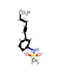 CS(=O)(=O)Nc1cccc(C#C/C=C/C(=O)O)c1